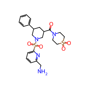 NCc1cccc(S(=O)(=O)N2CC(C(=O)N3CCS(=O)(=O)CC3)CC(c3ccccc3)C2)n1